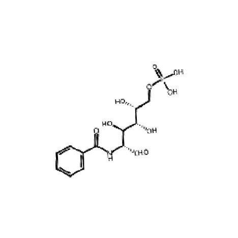 O=C[C@H](NC(=O)c1ccccc1)[C@@H](O)[C@@H](O)[C@H](O)COP(=O)(O)O